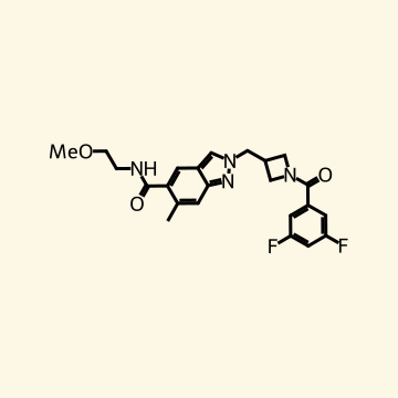 COCCNC(=O)c1cc2cn(CC3CN(C(=O)c4cc(F)cc(F)c4)C3)nc2cc1C